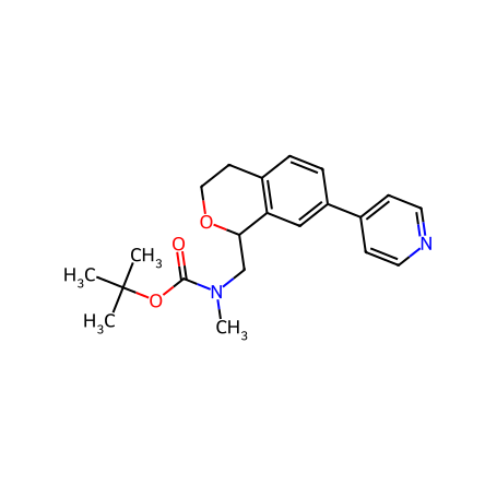 CN(CC1OCCc2ccc(-c3ccncc3)cc21)C(=O)OC(C)(C)C